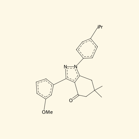 COc1cccc(-c2nn(-c3ccc(C(C)C)cc3)c3c2C(=O)CC(C)(C)C3)c1